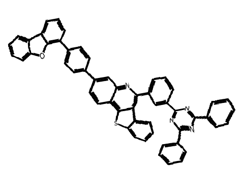 c1ccc(-c2nc(-c3ccccc3)nc(-c3cccc(-c4nc5cc(-c6ccc(-c7cccc8c7oc7ccccc78)cc6)ccc5c5sc6ccccc6c45)c3)n2)cc1